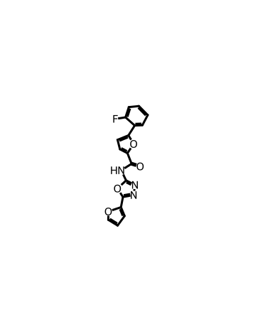 O=C(Nc1nnc(-c2ccco2)o1)c1ccc(-c2ccccc2F)o1